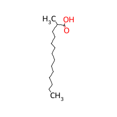 CCCCCCCCCCCCC(C)C(=O)O